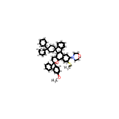 COc1ccc(C2(c3ccccc3)C=Cc3c4c(c5cc(N6CCOCC6)c(SC)cc5c3O2)-c2ccccc2C42CCC(c3ccccc3)(c3ccccc3)CC2)cc1